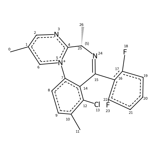 Cc1cnc2[n+](c1)-c1ccc(C)c(Cl)c1C(c1c(F)cccc1F)=N[C@H]2C